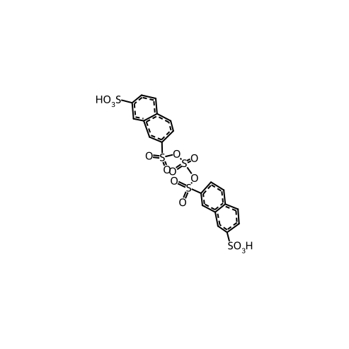 O=S(=O)(OS(=O)(=O)c1ccc2ccc(S(=O)(=O)O)cc2c1)OS(=O)(=O)c1ccc2ccc(S(=O)(=O)O)cc2c1